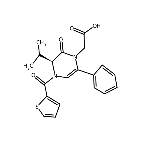 CC(C)[C@H]1C(=O)N(CC(=O)O)C(c2ccccc2)=CN1C(=O)c1cccs1